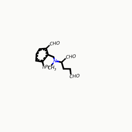 CCCc1cccc(C=O)c1CN(C)C(C=O)CCC=O